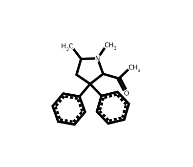 CC(=O)C1N(C)C(C)CC1(c1ccccc1)c1ccccc1